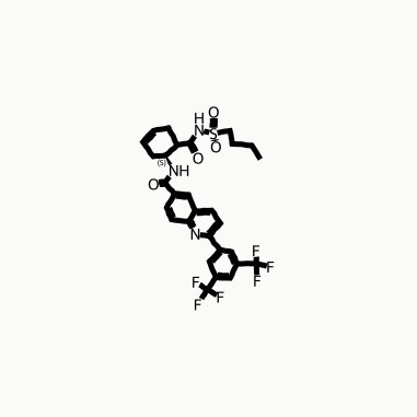 CCCCS(=O)(=O)NC(=O)C1CC=CC[C@@H]1NC(=O)c1ccc2nc(-c3cc(C(F)(F)F)cc(C(F)(F)F)c3)ccc2c1